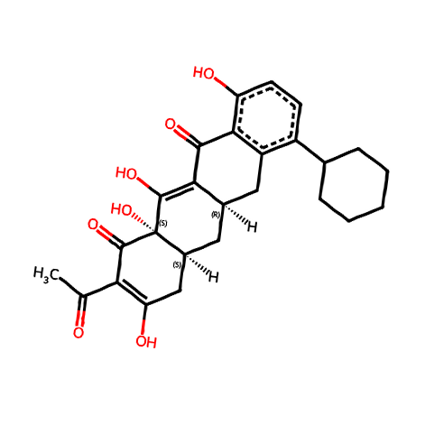 CC(=O)C1=C(O)C[C@@H]2C[C@@H]3Cc4c(C5CCCCC5)ccc(O)c4C(=O)C3=C(O)[C@]2(O)C1=O